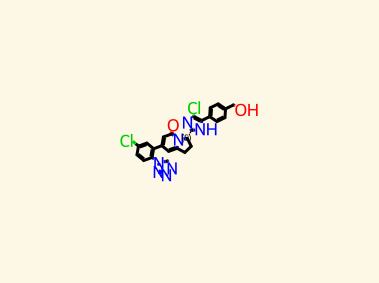 O=c1cc(-c2cc(Cl)ccc2-n2cnnn2)cc2n1[C@H](c1nc(Cl)c(-c3ccc(CO)cc3)[nH]1)CC2